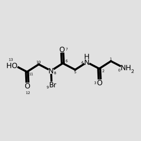 NCC(=O)NCC(=O)N(Br)CC(=O)O